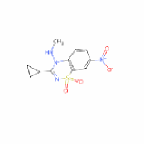 CNN1C(C2CC2)=NS(=O)(=O)c2cc([N+](=O)[O-])ccc21